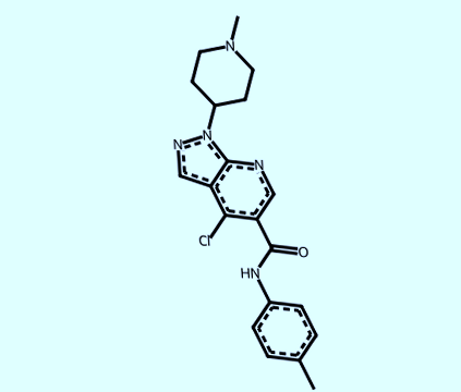 Cc1ccc(NC(=O)c2cnc3c(cnn3C3CCN(C)CC3)c2Cl)cc1